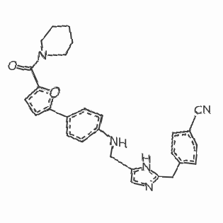 N#Cc1ccc(Cc2ncc(CNc3ccc(-c4ccc(C(=O)N5CCCCC5)o4)cc3)[nH]2)cc1